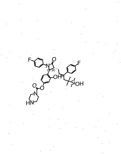 CC(C)(C[C@@H](CC[C@H]1C(=O)N(c2ccc(F)cc2)[C@@H]1c1ccc(OC(=O)N2CCNCC2)cc1O)c1ccc(F)cc1)[Si](C)(C)O